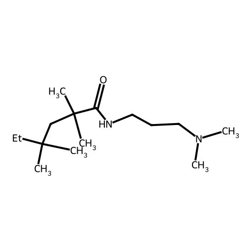 CCC(C)(C)CC(C)(C)C(=O)NCCCN(C)C